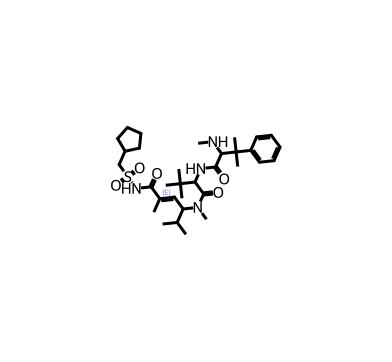 CNC(C(=O)NC(C(=O)N(C)C(/C=C(\C)C(=O)NS(=O)(=O)CC1CCCC1)C(C)C)C(C)(C)C)C(C)(C)c1ccccc1